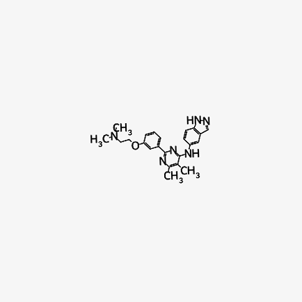 Cc1nc(-c2cccc(OCCN(C)C)c2)nc(Nc2ccc3[nH]ncc3c2)c1C